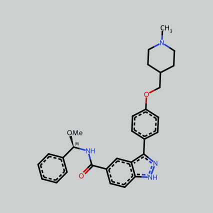 CO[C@@H](NC(=O)c1ccc2[nH]nc(-c3ccc(OCC4CCN(C)CC4)cc3)c2c1)c1ccccc1